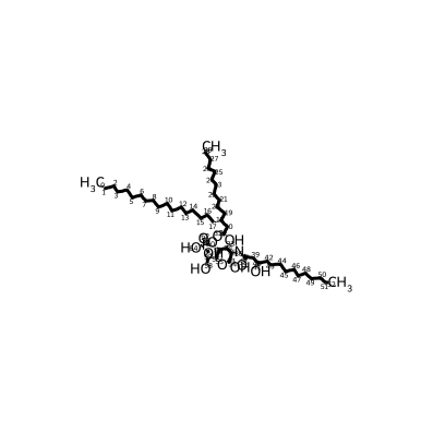 CCCCCCCCCCCCCCCCCC[C@H](CCCCCCCCCCC)CC(=O)O[C@@H]1[C@H](NC(=O)C[C@H](O)CCCCCCCCCCC)[C@@H](O)O[C@H](CO)[C@H]1OP(=O)(O)O